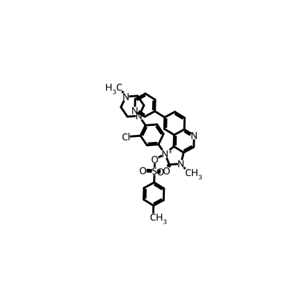 Cc1ccc(S(=O)(=O)O[N+]2(c3ccc(N4CCN(C)CC4)c(Cl)c3)C(=O)N(C)c3cnc4ccc(-c5cccnc5)cc4c32)cc1